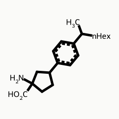 CCCCCCC(C)c1ccc(C2CCC(N)(C(=O)O)C2)cc1